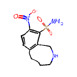 NS(=O)(=O)c1c([N+](=O)[O-])ccc2c1CNCCC2